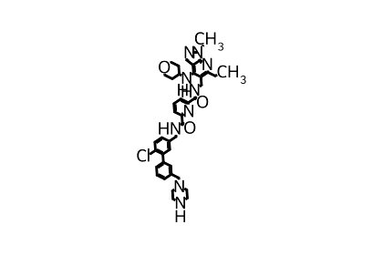 CCc1nc2c(cnn2CC)c(NC2CCOCC2)c1CNC(=O)c1cccc(C(=O)NCc2ccc(Cl)c(-c3cccc(CN4CCNCC4)c3)c2)n1